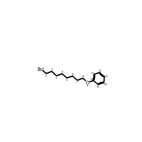 BrCCCCCCCCOc1ccccc1